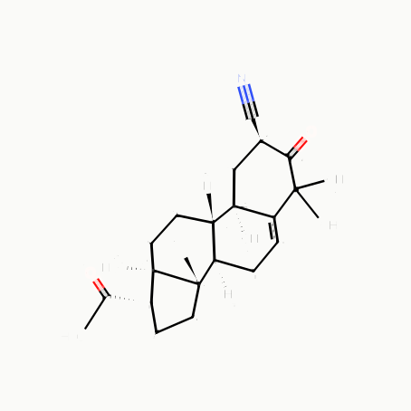 CC(=O)[C@H]1CC[C@H]2[C@@H]3CC=C4C(C)(C)C(=O)[C@H](C#N)C[C@]4(C)[C@H]3CC[C@]12C